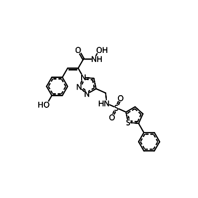 O=C(NO)C(=Cc1ccc(O)cc1)n1cc(CNS(=O)(=O)c2ccc(-c3ccccc3)s2)nn1